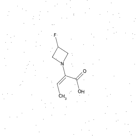 CC=C(C(=O)O)N1CC(F)C1